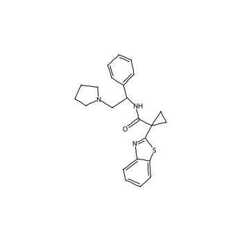 O=C(NC(CN1CCCC1)c1ccccc1)C1(c2nc3ccccc3s2)CC1